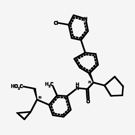 Cc1c(NC(=O)[C@@H](c2ccc(-c3cncc(Cl)c3)cc2)C2CCCC2)cccc1[C@H](CC(=O)O)C1CC1